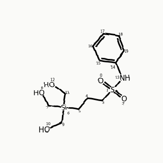 O=S(=O)(CCC[Si](CO)(CO)CO)Nc1ccccc1